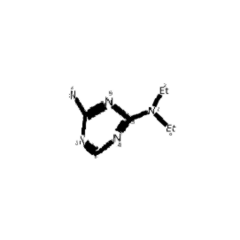 CCN(CC)c1n[c]nc([N])n1